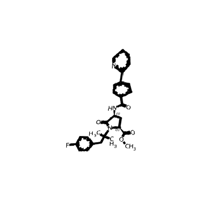 COC(=O)[C@@H]1C[C@H](NC(=O)c2ccc(-c3ccccn3)cc2)C(=O)N1C(C)(C)Cc1ccc(F)cc1